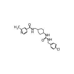 Cc1cc(C(=O)NCC2CCC(NC(=O)NCc3ccc(Cl)cc3)CC2)ccn1